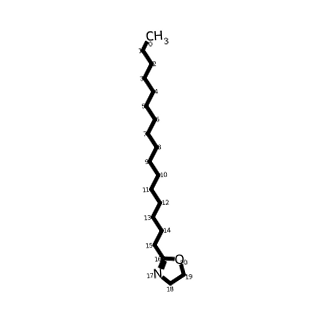 CCCCCCCCCCCCCCCCC1=NCCO1